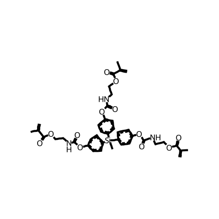 C=C(C)C(=O)OCCNC(=O)Oc1ccc([Si](C)(c2ccc(OC(=O)NCCOC(=O)C(=C)C)cc2)c2ccc(OC(=O)NCCOC(=O)C(=C)C)cc2)cc1